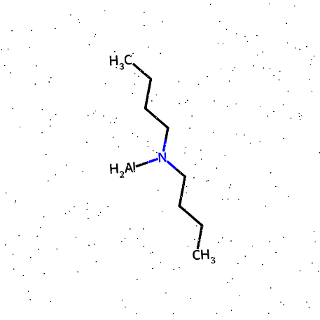 CCCC[N]([AlH2])CCCC